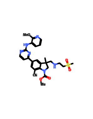 COc1ncccc1Nc1nccc(-c2cc(C#N)c3c(c2)C(C)(CNCCS(C)(=O)=O)CN3C(=O)OC(C)(C)C)n1